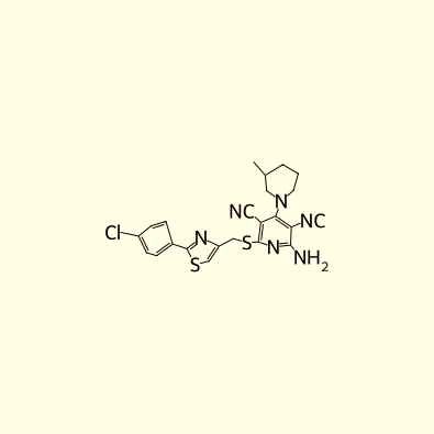 [C-]#[N+]c1c(N)nc(SCc2csc(-c3ccc(Cl)cc3)n2)c(C#N)c1N1CCCC(C)C1